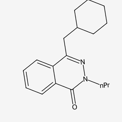 CCCn1nc(CC2CCCCC2)c2ccccc2c1=O